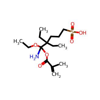 C=C(C)C(=O)OC(N)(OCC)C(CC)(CC)CCCS(=O)(=O)O